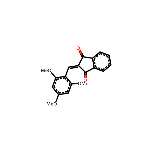 COc1cc(OC)c(C=C2C(=O)c3ccccc3C2=O)c(OC)c1